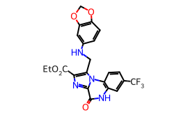 CCOC(=O)c1nc2c(=O)[nH]c3cc(C(F)(F)F)ccc3n2c1CNc1ccc2c(c1)OCO2